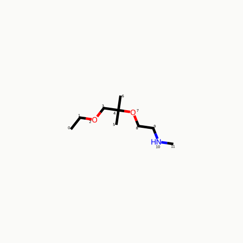 CCOCC(C)(C)OCCNC